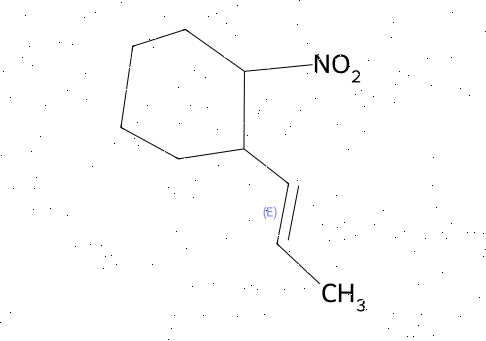 C/C=C/C1CCCCC1[N+](=O)[O-]